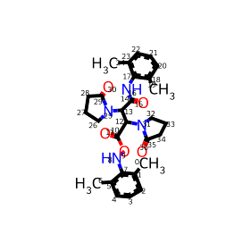 Cc1cccc(C)c1NOC(=O)C(C(C(=O)Nc1c(C)cccc1C)N1CCCC1=O)N1CCCC1=O